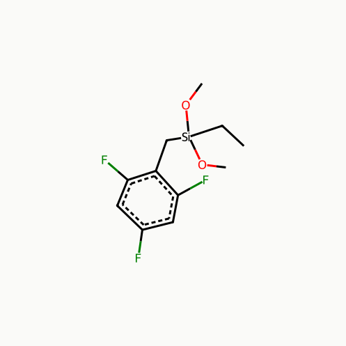 CC[Si](Cc1c(F)cc(F)cc1F)(OC)OC